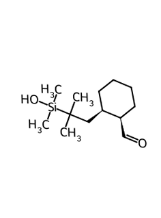 CC(C)(C[C@H]1CCCC[C@H]1C=O)[Si](C)(C)O